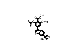 COc1cc(-c2cnc3cc(C4(O)COC4)ccn23)cc(OC(F)F)c1C(=O)OC(C)(C)C